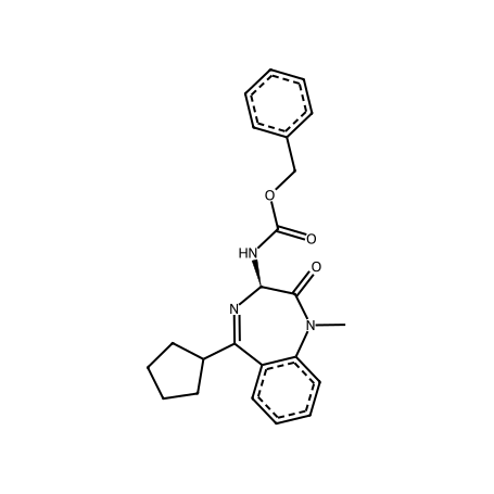 CN1C(=O)[C@H](NC(=O)OCc2ccccc2)N=C(C2CCCC2)c2ccccc21